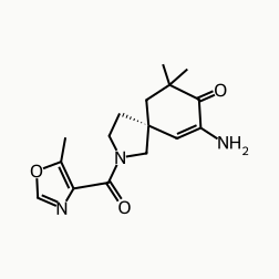 Cc1ocnc1C(=O)N1CC[C@]2(C=C(N)C(=O)C(C)(C)C2)C1